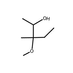 CCC(C)(OC)C(C)O